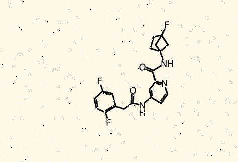 O=C(Cc1cc(F)ccc1F)Nc1ccnc(C(=O)NC23CCC(F)(C2)C3)c1